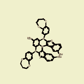 CC(C)(C)c1cc2c3c(c1)N(c1ccc4c(c1)OCCCO4)c1sc4ccc(C(C)(C)C)cc4c1B3c1c(sc3ccc(C(C)(C)C)cc13)N2c1ccc2c(c1)OCCCO2